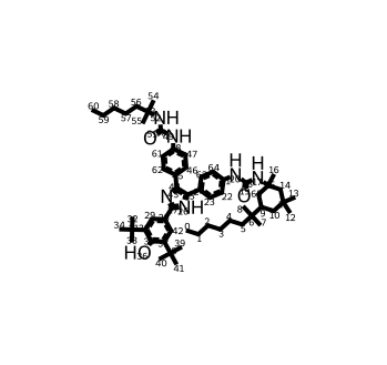 CCCCCCC(C)(C)C1CC(C)(C)CC(C)(NC(=O)Nc2ccc(-c3[nH]c(-c4cc(C(C)(C)C)c(O)c(C(C)(C)C)c4)nc3-c3ccc(NC(=O)NC(C)(C)CCCCC)cc3)cc2)C1